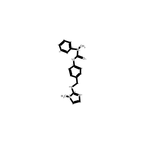 CN(C(=O)Oc1ccc(CSc2nccn2C)cc1)c1ccccc1